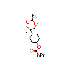 CCCC(=O)OC1CCC([C@]2(C)CO[C@H](CC)OC2)CC1